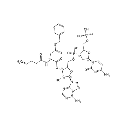 C=CCCC(=O)N[C@@H](CC(=O)SCc1ccccc1)C(=O)O[C@@H]1C(COP(=O)(O)[C@H]2C[C@H](n3ccc(N)nc3=O)OC2COP(=O)(O)O)O[C@@H](n2cnc3c(N)ncnc32)[C@@H]1O